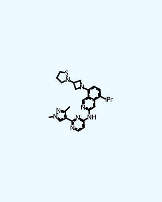 Cc1nn(C)cc1-c1nccc(Nc2cc3c(C(C)C)ccc(N4CC(N5CCCS5)C4)c3cn2)n1